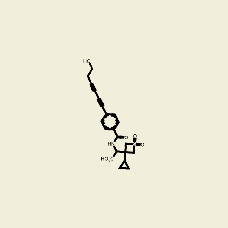 O=C(NC(C(=O)O)C1(C2CC2)CS(=O)(=O)C1)c1ccc(C#CC#CCCO)cc1